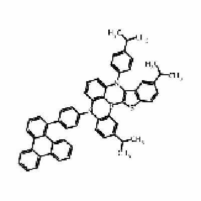 CC(C)c1ccc(N2c3cccc4c3B(c3cc(C(C)C)ccc3N4c3ccc(-c4cccc5c6ccccc6c6ccccc6c45)cc3)c3sc4ccc(C(C)C)cc4c32)cc1